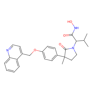 CC(C)C(C(=O)NO)N1CCC(C)(c2ccc(OCc3ccnc4ccccc34)cc2)C1=O